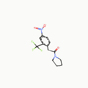 O=C(Cc1ccc([N+](=O)[O-])cc1C(F)(F)F)N1CCCC1